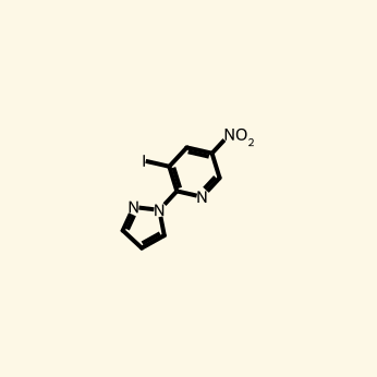 O=[N+]([O-])c1cnc(-n2cccn2)c(I)c1